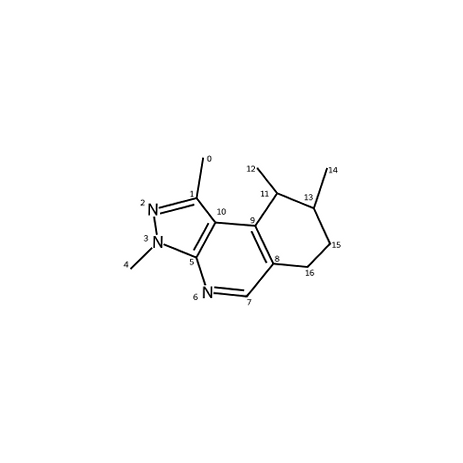 Cc1nn(C)c2ncc3c(c12)C(C)C(C)CC3